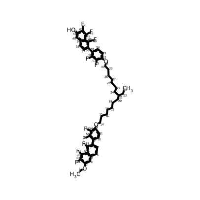 CCOc1cc2ccc(-c3ccc(OCCCCCCCC(CC)CCCCCCCOc4ccc(-c5ccc6cc(O)c(F)c(F)c6c5F)c(F)c4F)c(F)c3F)c(F)c2c(F)c1F